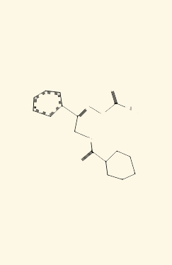 NC(=S)NN=C(CNC(=O)C1CCCCC1)c1ccccc1